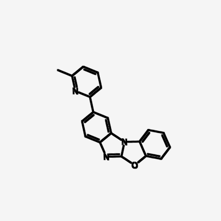 Cc1cccc(-c2ccc3nc4oc5ccccc5n4c3c2)n1